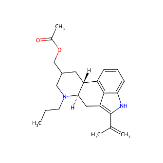 C=C(C)c1[nH]c2cccc3c2c1C[C@@H]1[C@@H]3CC(COC(C)=O)CN1CCC